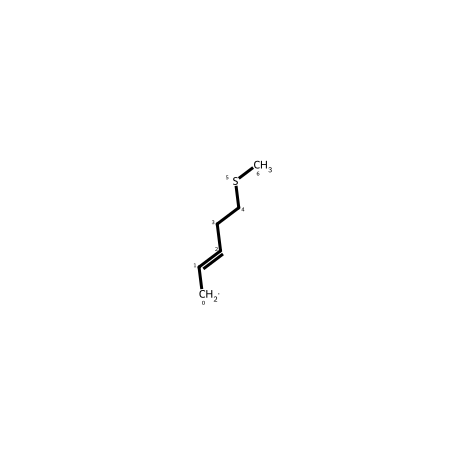 [CH2]C=CCCSC